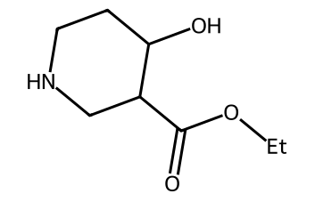 CCOC(=O)C1CNCCC1O